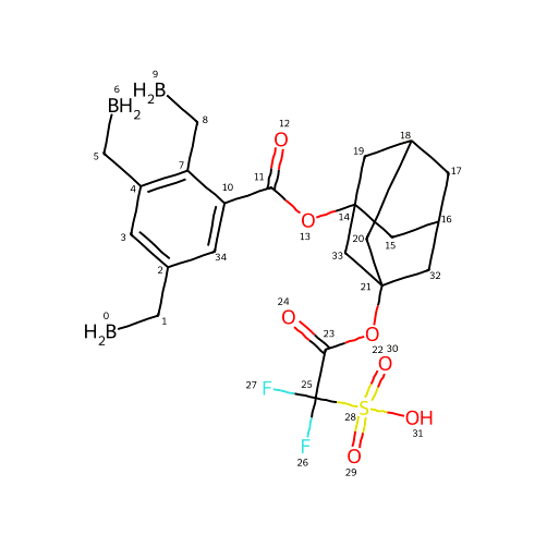 BCc1cc(CB)c(CB)c(C(=O)OC23CC4CC(C2)CC(OC(=O)C(F)(F)S(=O)(=O)O)(C4)C3)c1